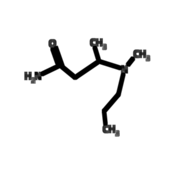 CCCN(C)C(C)CC(N)=O